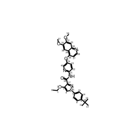 CCOc1cn(-c2ccc(C(C)(C)C)cc2)nc1C(=O)Nc1ccc(Oc2ccnc3cc(OC)c(OC)cc23)cn1